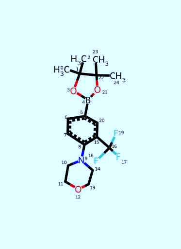 CC1(C)OB(c2ccc(N3CCOCC3)c(C(F)(F)F)c2)OC1(C)C